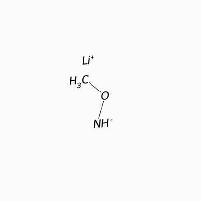 CO[NH-].[Li+]